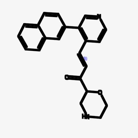 O=C(/C=C/c1ccncc1-c1ccc2ccccc2c1)C1CNCCO1